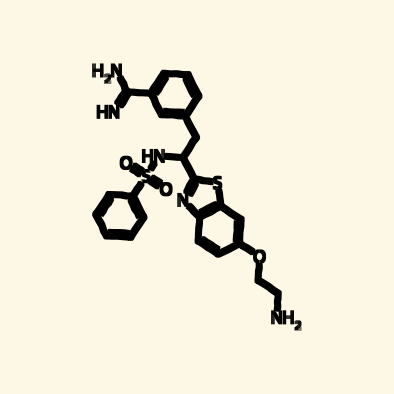 N=C(N)c1cccc(CC(NS(=O)(=O)c2ccccc2)c2nc3ccc(OCCN)cc3s2)c1